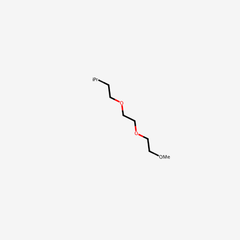 COCCOCCOCCC(C)C